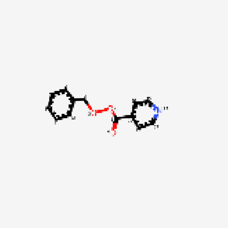 O=C(OOCc1ccccc1)c1ccncc1